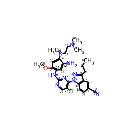 CCCc1nn(-c2nc(Nc3cc(N)c(N(C)CCN(C)C)cc3OC)ncc2Cl)c2ccc(C#N)cc12